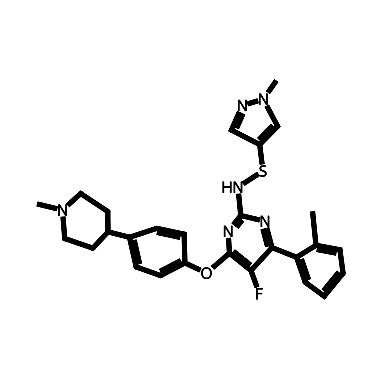 Cc1ccccc1-c1nc(NSc2cnn(C)c2)nc(Oc2ccc(C3CCN(C)CC3)cc2)c1F